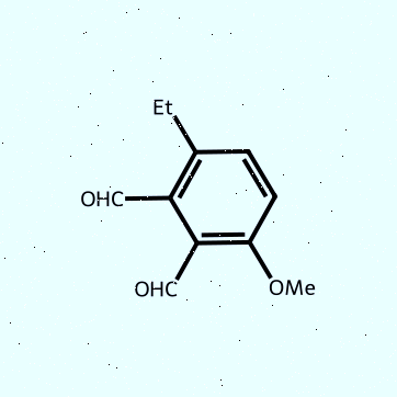 CCc1ccc(OC)c(C=O)c1C=O